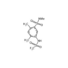 CNS(=O)(=O)c1cc(NS(=O)(=O)C(F)(F)F)c(C)cc1C